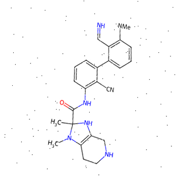 CNc1cccc(-c2cccc(NC(=O)C3(C)NC4=C(CCNC4)N3C)c2C#N)c1C=N